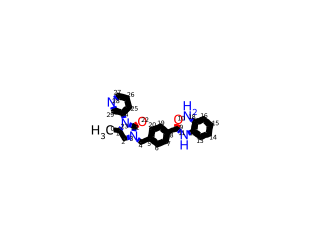 CC1CN(Cc2ccc(C(=O)Nc3ccccc3N)cc2)C(=O)N1c1cccnc1